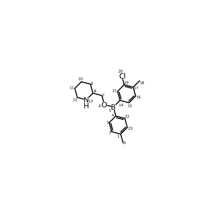 Cc1ccc(B(OCC2CCCCN2)c2ccc(C)c(Cl)c2)cc1